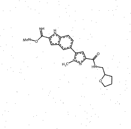 CNOC(=N)c1cc2cc(-c3cc(C(=O)NCC4CCCO4)nn3C)ccc2[nH]1